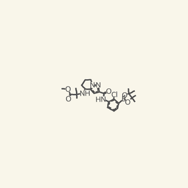 COC(=O)C(C)(C)N[C@H]1CCCn2nc(C(=O)Nc3cccc(B4OC(C)(C)C(C)(C)O4)c3Cl)cc21